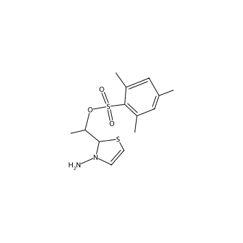 Cc1cc(C)c(S(=O)(=O)OC(C)C2SC=CN2N)c(C)c1